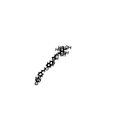 O=C(Cc1ccc(OCCCC2CCN(c3ncc(Cl)cn3)CC2)cc1F)N1CC(CNCC(O)C(O)C(O)C(O)CO)C1